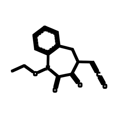 CCON1C(=O)C(=O)C(C=C=O)Cc2ccccc21